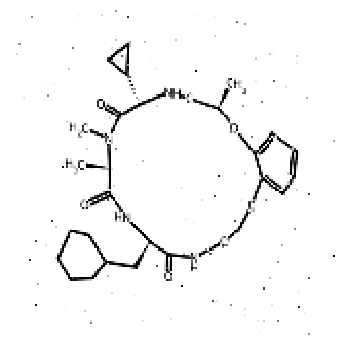 C[C@@H]1CN[C@@H](C2CC2)C(=O)N(C)[C@H](C)C(=O)N[C@H](CC2CCCCC2)C(=O)NCCCc2ccccc2O1